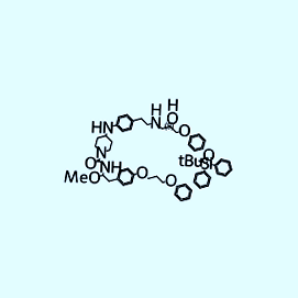 COC(Cc1ccc(OCCCOc2ccccc2)cc1)NC(=O)N1CCC(Nc2ccc(CCNC[C@H](O)COc3ccc(O[Si](c4ccccc4)(c4ccccc4)C(C)(C)C)cc3)cc2)CC1